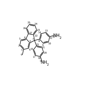 Cc1ccc2c(c1)C(c1ccc(N)cc1)(c1ccc(N)cc1)c1ccccc1-2